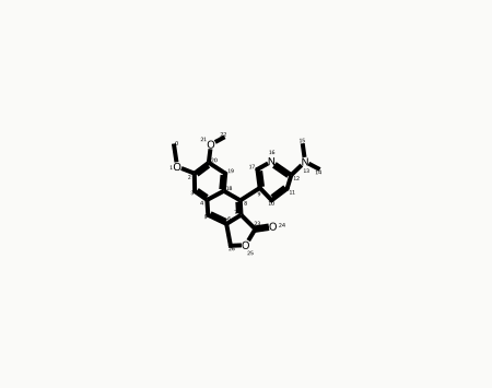 COc1cc2cc3c(c(-c4ccc(N(C)C)nc4)c2cc1OC)C(=O)OC3